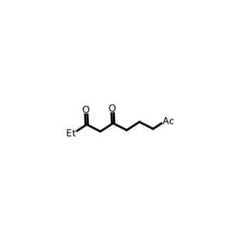 CCC(=O)CC(=O)CCCC(C)=O